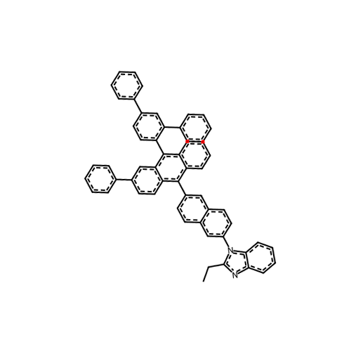 CCc1nc2ccccc2n1-c1ccc2cc(-c3c4ccccc4c(-c4ccc(-c5ccccc5)cc4-c4ccccc4)c4cc(-c5ccccc5)ccc34)ccc2c1